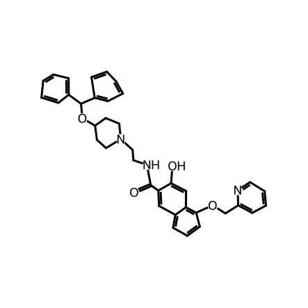 O=C(NCCN1CCC(OC(c2ccccc2)c2ccccc2)CC1)c1cc2cccc(OCc3ccccn3)c2cc1O